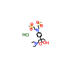 CCN(CC)CCC(CC)(C(=O)O)c1ccc(N(CCS(C)(=O)=O)CCS(C)(=O)=O)cc1.Cl